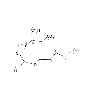 CCCCCCCCCCCCCCO[CH]([Na])CC.O=C(O)CC(C(=O)O)S(=O)(=O)O